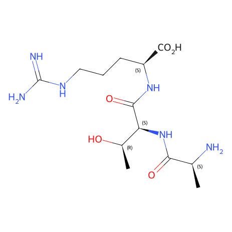 C[C@H](N)C(=O)N[C@H](C(=O)N[C@@H](CCCNC(=N)N)C(=O)O)[C@@H](C)O